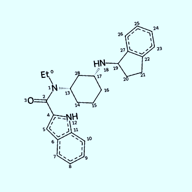 CCN(C(=O)c1cc2ccccc2[nH]1)[C@H]1CCC[C@@H](NC2CCc3ccccc32)C1